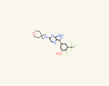 Oc1cc(-c2n[nH]c3nc(N4CC5(CCOCC5)C4)cnc23)cc(C(F)(F)F)c1F